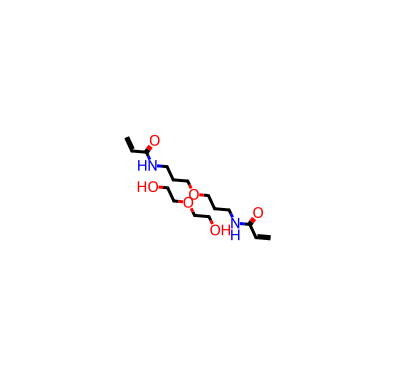 C=CC(=O)NCCCOCCCNC(=O)C=C.OCCOCCO